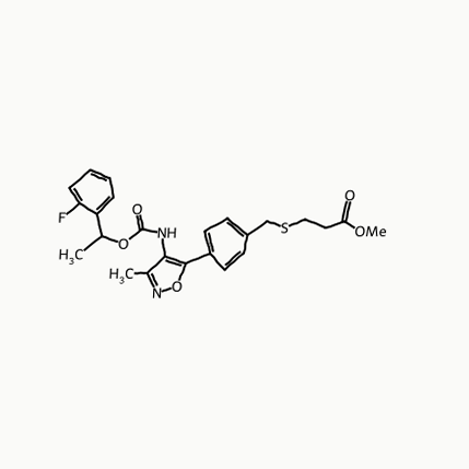 COC(=O)CCSCc1ccc(-c2onc(C)c2NC(=O)OC(C)c2ccccc2F)cc1